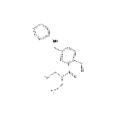 CCN(CC)C(=O)c1cc(CNc2ccccc2)ccc1C=O